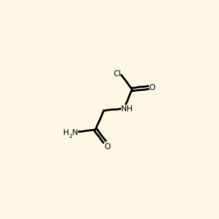 NC(=O)CNC(=O)Cl